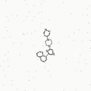 c1ccc2c(-c3cncc(N4CCN(c5ccncc5)CC4)n3)cccc2c1